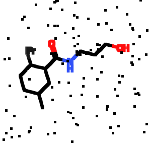 CC1CCC(C(C)C)C(C(=O)NCCCO)C1